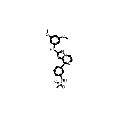 COc1cc(Nc2nc3c(-c4cccc(NS(C)(=O)=O)c4)nccn3n2)cc(OC)c1